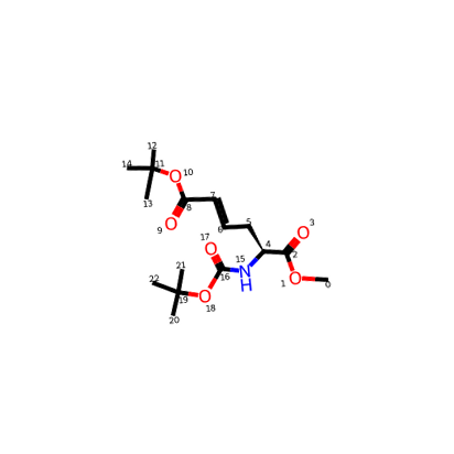 COC(=O)[C@H](CC=CC(=O)OC(C)(C)C)NC(=O)OC(C)(C)C